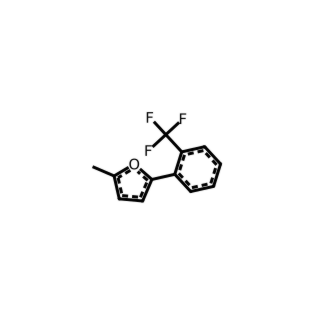 Cc1ccc(-c2ccccc2C(F)(F)F)o1